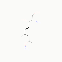 CC(/C=C/[C@@H](O)[C@@H](N)CO)CC(C)ON